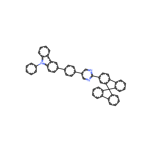 c1ccc(-n2c3ccccc3c3cc(-c4ccc(-c5cnc(-c6ccc7c(c6)C6(c8ccccc8-c8ccccc86)c6ccccc6-7)nc5)cc4)ccc32)cc1